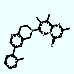 Cc1cc(=O)n2nc(N3CCc4ncc(-c5ccccc5C)cc4C3)c(C)c(C)c2n1